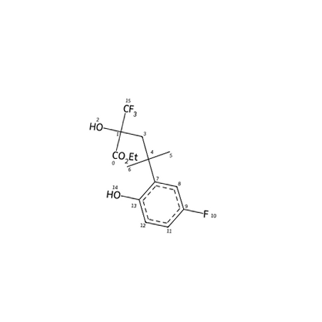 CCOC(=O)C(O)(CC(C)(C)c1cc(F)ccc1O)C(F)(F)F